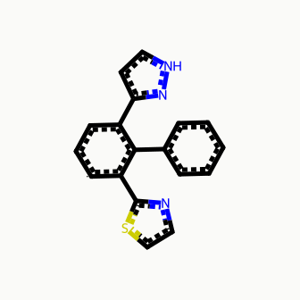 [c]1ccc(-c2cc[nH]n2)c(-c2ccccc2)c1-c1nccs1